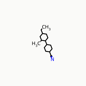 CCC1CCC(C2CCC(C#N)CC2)C(C)C1